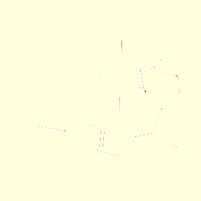 CCCCOc1noc2c1C(O)[C@@]13O[C@@H](C=C1OC)C[C@H]3[C@@H]2N